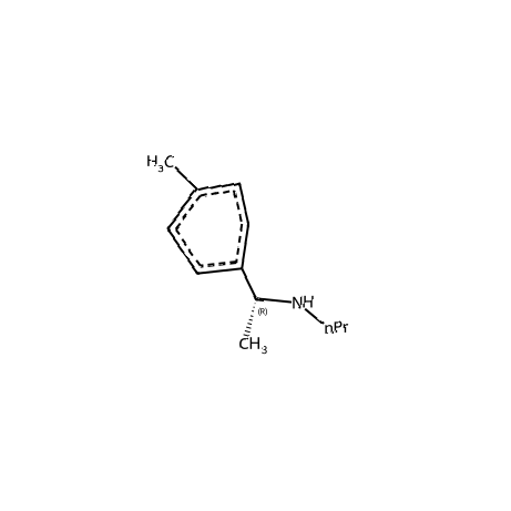 CCCN[C@H](C)c1ccc(C)cc1